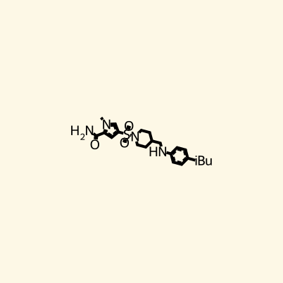 CCC(C)c1ccc(NCC2CCN(S(=O)(=O)c3cc(C(N)=O)n(C)c3)CC2)cc1